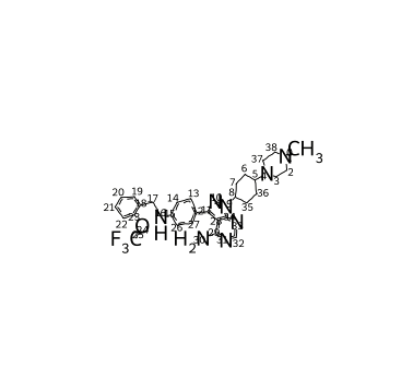 CN1CCN(C2CCC(n3nc(-c4ccc(NCc5ccccc5OC(F)(F)F)cc4)c4c(N)ncnc43)CC2)CC1